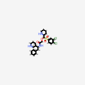 O=C(COC(C1CCCCN1)S(=O)(=O)c1ccc(Cl)c(Cl)c1)NC(Cc1ccccc1)C1CCCNC1